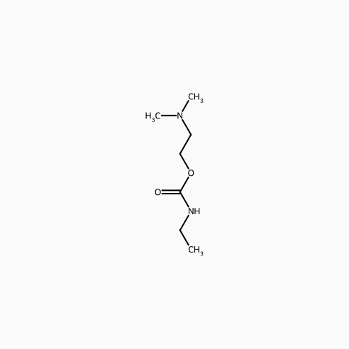 CCNC(=O)OCCN(C)C